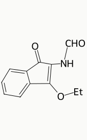 CCOC1=C(NC=O)C(=O)c2ccccc21